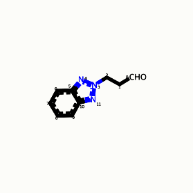 O=CCCn1nc2ccccc2n1